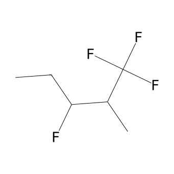 CCC(F)C(C)C(F)(F)F